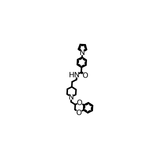 O=C(NCCC1CCN(CC2COc3ccccc3O2)CC1)c1ccc(-n2cccc2)cc1